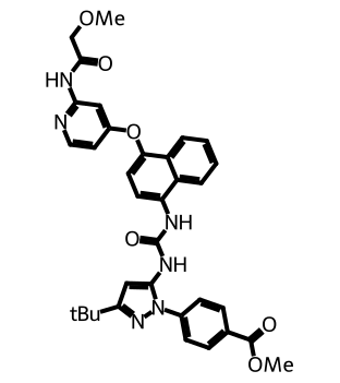 COCC(=O)Nc1cc(Oc2ccc(NC(=O)Nc3cc(C(C)(C)C)nn3-c3ccc(C(=O)OC)cc3)c3ccccc23)ccn1